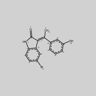 C/C(=C1\C(=O)Nc2ccc(Br)cc21)c1cccc(O)c1